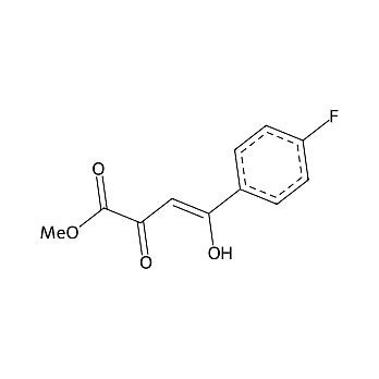 COC(=O)C(=O)C=C(O)c1ccc(F)cc1